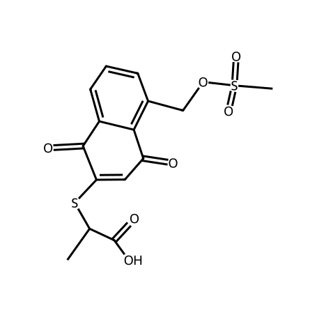 CC(SC1=CC(=O)c2c(COS(C)(=O)=O)cccc2C1=O)C(=O)O